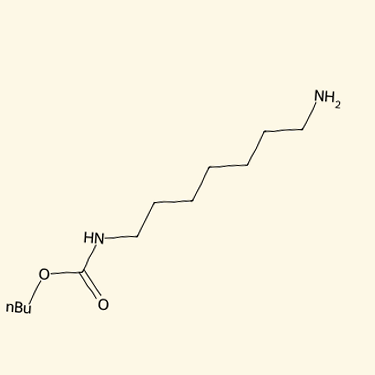 CCCCOC(=O)NCCCCCCCN